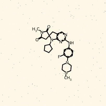 CN1CCN(c2ccc(Nc3ncc4c(n3)N(C3CCCC3)C3(CC(=O)N(C)C3=O)C4)cc2F)CC1